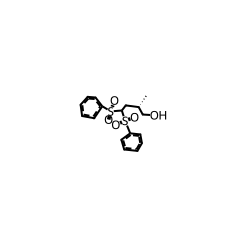 C[C@H](CO)CC(S(=O)(=O)c1ccccc1)S(=O)(=O)c1ccccc1